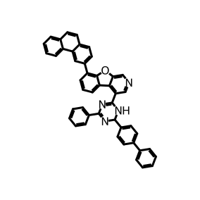 c1ccc(C2=NC(c3ccc(-c4ccccc4)cc3)NC(c3cncc4oc5c(-c6ccc7ccc8ccccc8c7c6)cccc5c34)=N2)cc1